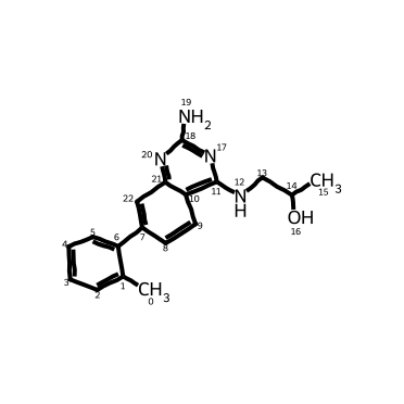 Cc1ccccc1-c1ccc2c(NCC(C)O)nc(N)nc2c1